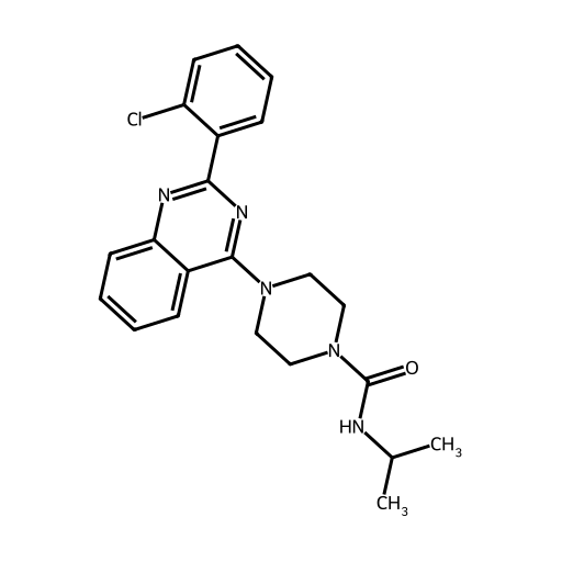 CC(C)NC(=O)N1CCN(c2nc(-c3ccccc3Cl)nc3ccccc23)CC1